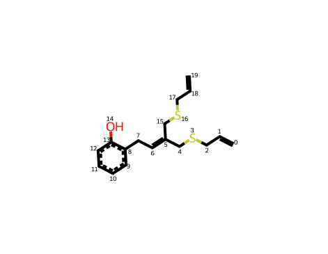 C=CCSCC(=CCc1ccccc1O)CSCC=C